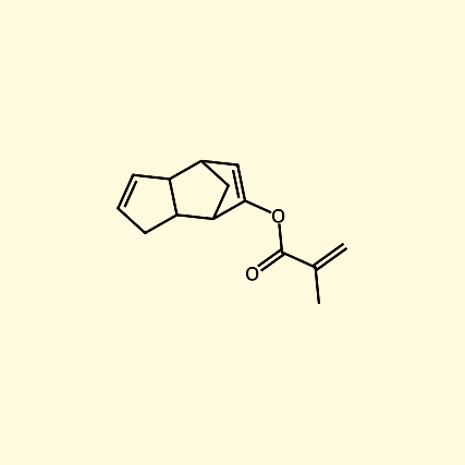 C=C(C)C(=O)OC1=CC2CC1C1CC=CC21